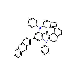 c1ccc(N2c3cc(-c4ccc5cc6ccccc6cc5c4)cc4c3B(c3c2ccc2ccccc32)c2c(ccc3ccccc23)N4c2ccccc2)cc1